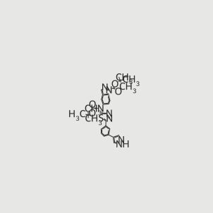 CC(C)(C)OC(=O)N(c1ccc2c(cnn2C(=O)OC(C)(C)C)c1)c1nnc(-c2cccc(-c3cn[nH]c3)c2)s1